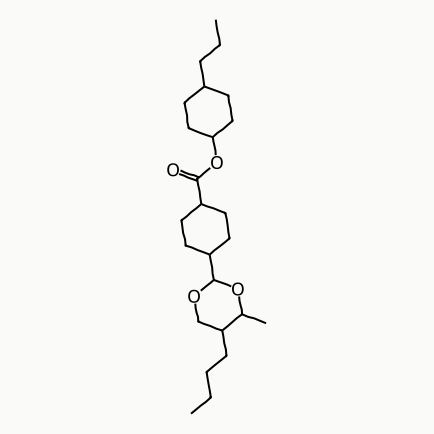 CCCCC1COC(C2CCC(C(=O)OC3CCC(CCC)CC3)CC2)OC1C